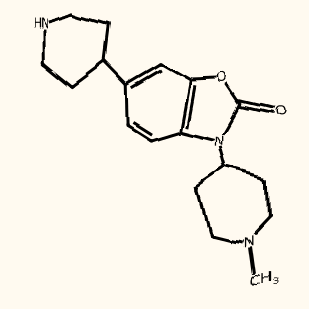 CN1CCC(n2c(=O)oc3cc(C4CCNCC4)ccc32)CC1